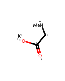 CNCC(=O)[O-].[K+]